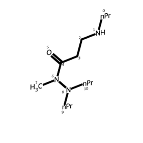 CCCNCCC(=O)N(C)N(CCC)CCC